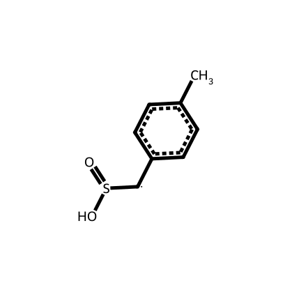 Cc1ccc([CH]S(=O)O)cc1